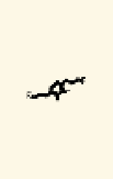 Cc1c(CCCF)ccc(CCCF)c1F